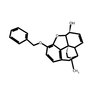 CN1CC[C@]23c4c5ccc(OCc6ccccc6)c4OC2[C@@H](O)C=CC3C1C5